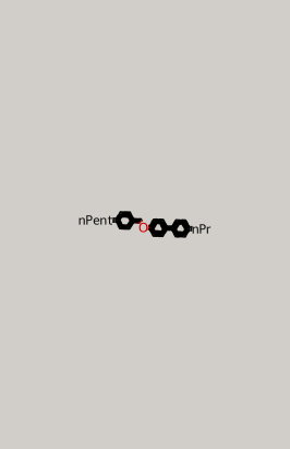 CCCCCC1C=CC(COc2ccc(-c3ccc(CCC)cc3)cc2)CC1